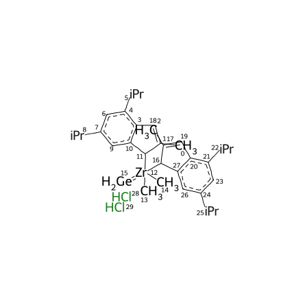 CC1=Cc2c(C(C)C)cc(C(C)C)cc2[CH]1[Zr]([CH3])([CH3])(=[GeH2])[CH]1C(C)=Cc2c(C(C)C)cc(C(C)C)cc21.Cl.Cl